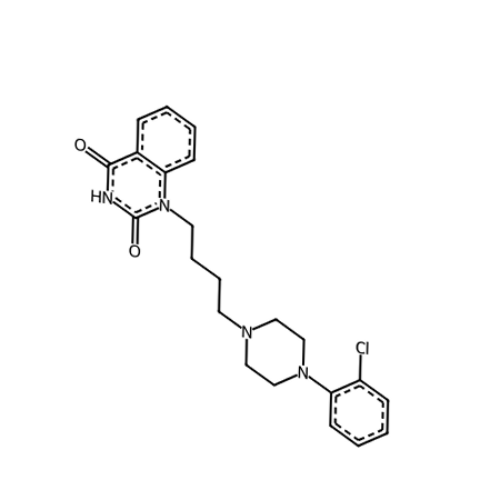 O=c1[nH]c(=O)n(CCCCN2CCN(c3ccccc3Cl)CC2)c2ccccc12